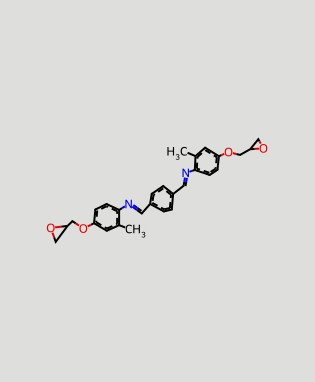 Cc1cc(OCC2CO2)ccc1N=Cc1ccc(C=Nc2ccc(OCC3CO3)cc2C)cc1